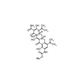 CN(C)c1cc(NC(=O)OC(C)(C)C)c(O)c2c1C[C@H]1C[C@H]3[C@H](N(C)C)C(O)=C(C(N)=O)C(=O)[C@@]3(O)C(O)=C1C2=O